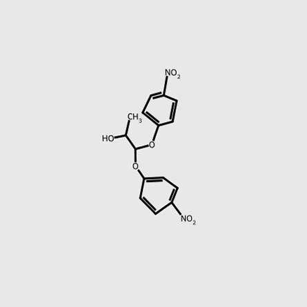 CC(O)C(Oc1ccc([N+](=O)[O-])cc1)Oc1ccc([N+](=O)[O-])cc1